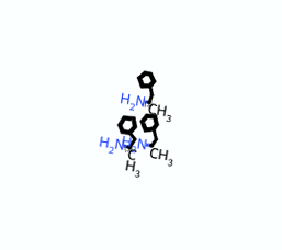 CC(N)Cc1ccccc1.C[C@H](N)Cc1ccccc1.C[C@H](N)Cc1ccccc1